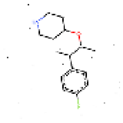 CC(OC1[CH]CNCC1)C(C)c1ccc(F)cc1